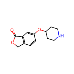 O=C1OCc2ccc(OC3CCNCC3)cc21